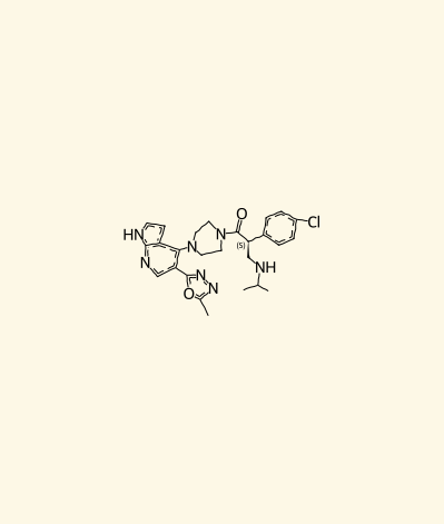 Cc1nnc(-c2cnc3[nH]ccc3c2N2CCN(C(=O)[C@H](CNC(C)C)c3ccc(Cl)cc3)CC2)o1